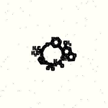 Cc1cc2c(c3c1-c1ccnc(c1)OCC(C)(C)n1ccc(n1)S(=O)(=O)NC(=O)N3)CCO2